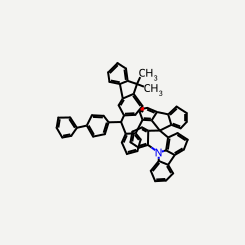 CC1(C)c2ccccc2-c2cc(C(c3ccc(-c4ccccc4)cc3)c3ccccc3-c3cccc4c3C3(c5ccccc5-4)c4ccccc4-n4c5ccccc5c5cccc3c54)ccc21